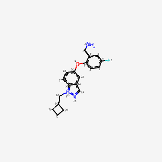 NCc1cc(F)ccc1Oc1ccc2c(cnn2CC2CCC2)c1